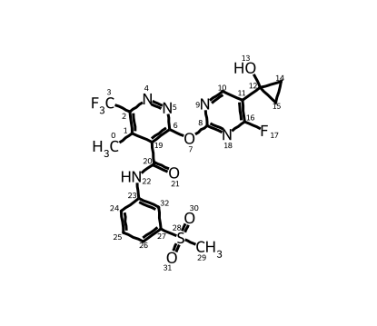 Cc1c(C(F)(F)F)nnc(Oc2ncc(C3(O)CC3)c(F)n2)c1C(=O)Nc1cccc(S(C)(=O)=O)c1